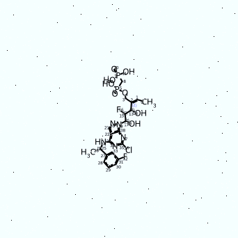 C/C=C(/COP(=O)(O)CP(=O)(O)O)[C@@H](O)[C@H](F)[C@@H](O)n1ncc2c(N[C@@H](C)c3cccc(F)c3)nc(Cl)nc21